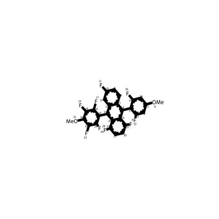 COc1cc(F)c(-c2c3ccc(F)cc3c(-c3c(F)c(F)c(OC)c(F)c3F)c3c(F)ccc(F)c23)c(F)c1